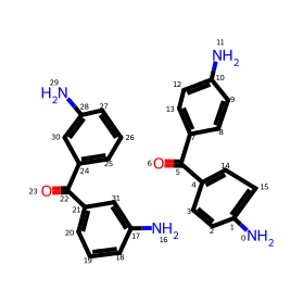 Nc1ccc(C(=O)c2ccc(N)cc2)cc1.Nc1cccc(C(=O)c2cccc(N)c2)c1